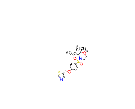 CC1(C)OCCN(S(=O)(=O)c2ccc(OCc3cncs3)cc2)[C@H]1C(=O)O